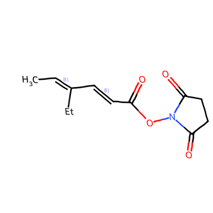 C/C=C(/C=C/C(=O)ON1C(=O)CCC1=O)CC